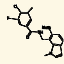 COc1ccc2ncn(C)c2c1CNC(=O)c1cc(C)c(Cl)c(F)c1